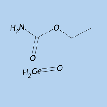 CCOC(N)=O.[O]=[GeH2]